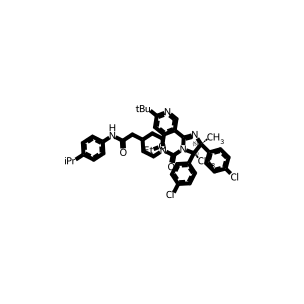 CCOc1cc(C(C)(C)C)ncc1C1=N[C@@](C)(c2ccc(Cl)cc2)[C@@](C)(c2ccc(Cl)cc2)N1C(=O)N1CCC(CC(=O)Nc2ccc(C(C)C)cc2)CC1